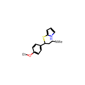 CCOc1ccc(C(CCNC)Sc2ccc[nH]2)cc1